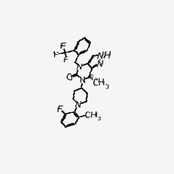 Cc1cccc(F)c1N1CCC(N2C(=O)N(Cc3ccccc3C(F)(F)F)c3c[nH]nc3[C@H]2C)CC1